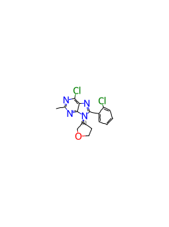 Cc1nc(Cl)c2nc(-c3ccccc3Cl)n([C@H]3CCOC3)c2n1